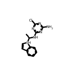 CC(Nc1nc(N)nc(Cl)n1)[SH]1C=Cc2ccccc21